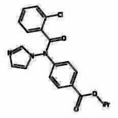 CC(C)OC(=O)c1ccc(N(C(=O)c2ccccc2Cl)n2ccnc2)cc1